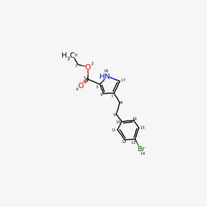 CCOC(=O)c1cc(CCc2ccc(Br)cc2)c[nH]1